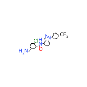 NCc1ccc(Cl)c(C(=O)Nc2cccc3c2cnn3-c2ccc(C(F)(F)F)cc2)c1